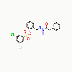 O=C(Cc1ccccc1)NN=Cc1ccccc1OS(=O)(=O)c1cc(Cl)cc(Cl)c1